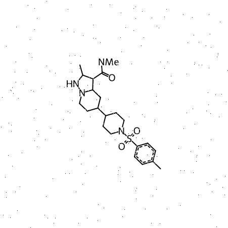 CNC(=O)C1C(C)NN2CCC(C3CCN(S(=O)(=O)c4ccc(C)cc4)CC3)CC12